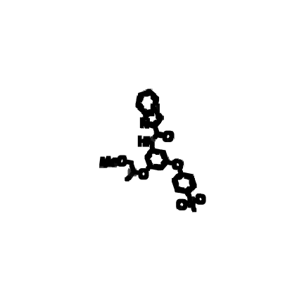 COC[C@H](C)Oc1cc(NC(=O)c2cn3ccccc3n2)cc(Oc2ccc(S(C)(=O)=O)cc2)c1